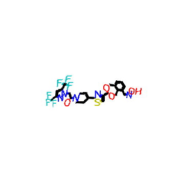 O=C(Cn1nc(C(F)(F)F)cc1C(F)(F)F)N1CCC(c2nc(C3OCc4cccc(/C=N\O)c4CO3)cs2)CC1